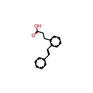 O=C(O)CCc1ccccc1C=Cc1ccccc1